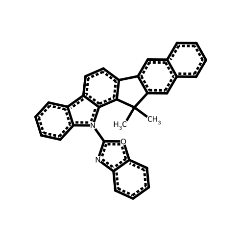 CC1(C)c2cc3ccccc3cc2-c2ccc3c4ccccc4n(-c4nc5ccccc5o4)c3c21